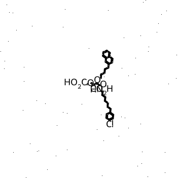 O=C(O)COC(C(=O)O)C(OCCCCCc1ccc2ccccc2c1)C(=O)NCCCCCCCc1ccc(Cl)cc1